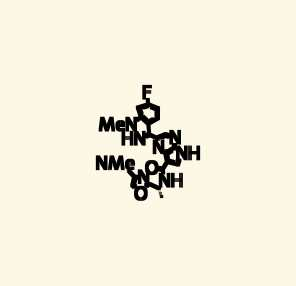 CNCc1coc([C@@H](C)NC(=O)c2c[nH]c3ncc(C(=N)c4ccc(F)cc4NC)nc23)n1